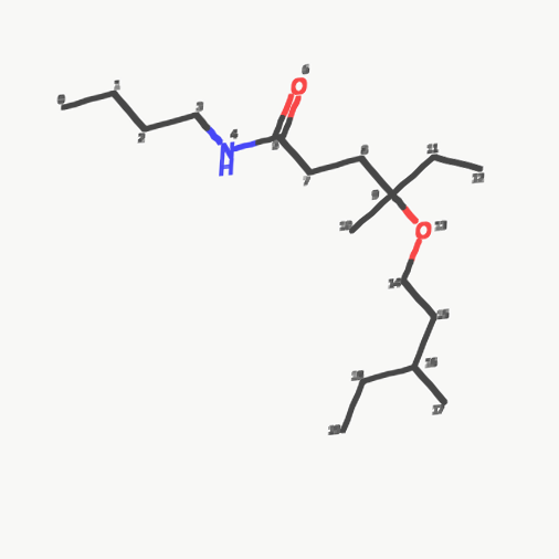 CCCCNC(=O)CCC(C)(CC)OCCC(C)CC